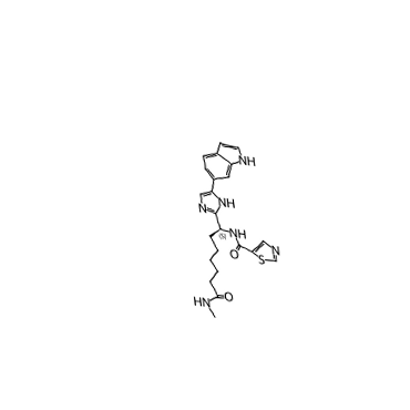 CNC(=O)CCCCC[C@H](NC(=O)c1cncs1)c1ncc(-c2ccc3cc[nH]c3c2)[nH]1